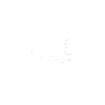 Nc1ncc(-c2ccc3c(c2)C=CC32CCN(C3CCOCC3)CC2)cc1C(=O)NC12CCC(O)(CC1)CC2